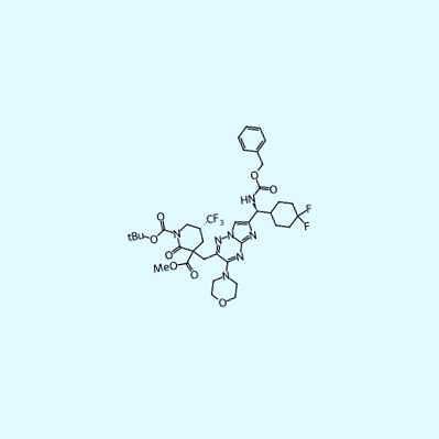 COC(=O)C1(Cc2nn3cc([C@@H](NC(=O)OCc4ccccc4)C4CCC(F)(F)CC4)nc3nc2N2CCOCC2)C[C@@H](C(F)(F)F)CN(C(=O)OC(C)(C)C)C1=O